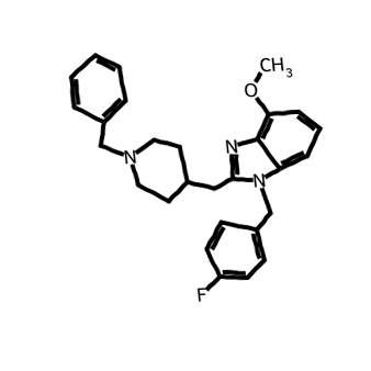 COc1cccc2c1nc(CC1CCN(Cc3ccccc3)CC1)n2Cc1ccc(F)cc1